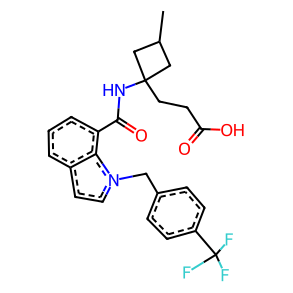 CC1CC(CCC(=O)O)(NC(=O)c2cccc3ccn(Cc4ccc(C(F)(F)F)cc4)c23)C1